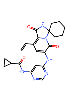 C=Cc1cc(Nc2cc(NC(=O)C3CC3)ncn2)c(=O)n2c1C(=O)NC21CCCCC1